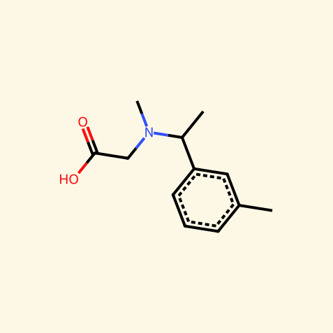 Cc1cccc(C(C)N(C)CC(=O)O)c1